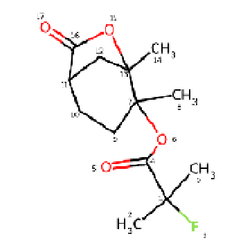 CC(C)(F)C(=O)OC1(C)CCC2CC1(C)OC2=O